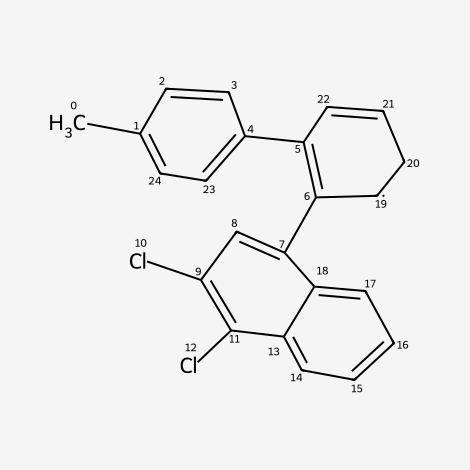 Cc1ccc(C2=C(c3cc(Cl)c(Cl)c4ccccc34)[CH]CC=C2)cc1